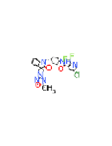 Cc1nc(N2CC3(C2)C(=O)N(C[C@H]2CC[C@H](NC(=O)c4cc(Cl)cnc4C(F)F)CC2)c2ccccc23)no1